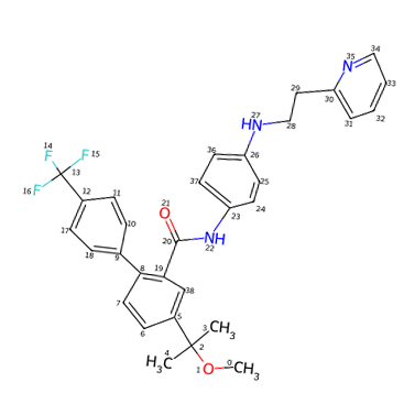 COC(C)(C)c1ccc(-c2ccc(C(F)(F)F)cc2)c(C(=O)Nc2ccc(NCCc3ccccn3)cc2)c1